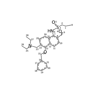 CCCS(=O)(=O)Nc1c(F)ccc2c(OCc3ccccc3)c(CN(CC)CC)ccc12